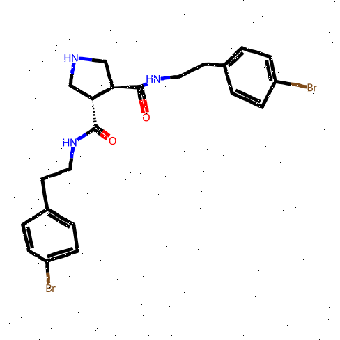 O=C(NCCc1ccc(Br)cc1)[C@@H]1CNC[C@H]1C(=O)NCCc1ccc(Br)cc1